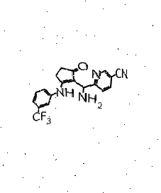 N#Cc1ccc(C(N)C2=C(Nc3cccc(C(F)(F)F)c3)CCC2=O)nc1